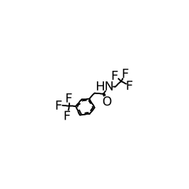 O=C(Cc1cccc(C(F)(F)F)c1)NCC(F)(F)F